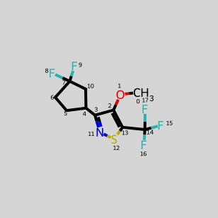 COc1c(C2CCC(F)(F)C2)nsc1C(F)(F)F